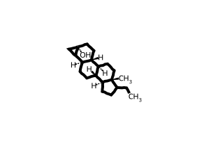 CCC1CC[C@H]2[C@@H]3CC[C@H]4C5C[C@@]5(O)CC[C@@H]4[C@H]3CC[C@]12C